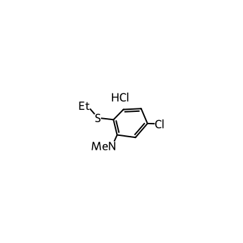 CCSc1ccc(Cl)cc1NC.Cl